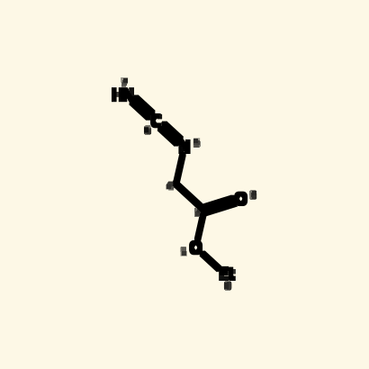 CCOC(=O)CN=C=N